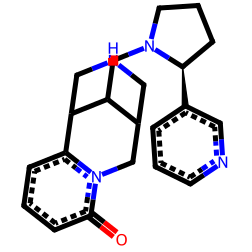 O=c1cccc2n1CC1CNCC2C1CN1CCC[C@H]1c1cccnc1